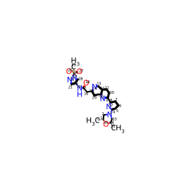 C[C@@H]1CN(c2cccc(-c3ccc4cnc(CC(=O)Nc5cnn(S(C)(=O)=O)c5)cc4n3)n2)C[C@H](C)O1